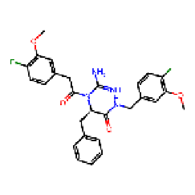 COc1cc(CNC(=O)[C@@H](Cc2ccccc2)N(C(=N)N)C(=O)Cc2ccc(F)c(OC)c2)ccc1F